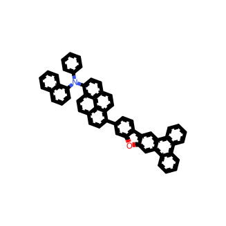 c1ccc(N(c2cccc3ccccc23)c2ccc3ccc4c(-c5ccc6c(c5)oc5cc7c8ccccc8c8ccccc8c7cc56)ccc5ccc2c3c54)cc1